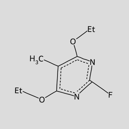 CCOc1nc(F)nc(OCC)c1C